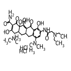 CCN(CC)CC(=O)Nc1cc(N(C)C)c2c(c1O)C(=O)C1=C(O)C3(O)C(=O)C(C(N)=O)=C(O)[C@@H](N(C)C)C3CC1C2.Cl.Cl